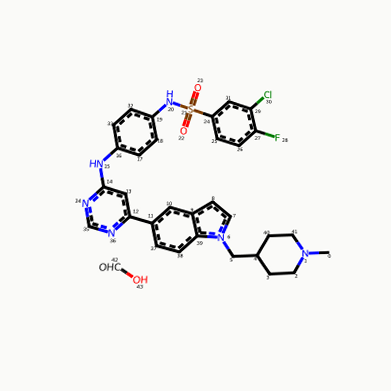 CN1CCC(Cn2ccc3cc(-c4cc(Nc5ccc(NS(=O)(=O)c6ccc(F)c(Cl)c6)cc5)ncn4)ccc32)CC1.O=CO